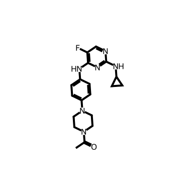 CC(=O)N1CCN(c2ccc(Nc3nc(NC4CC4)ncc3F)cc2)CC1